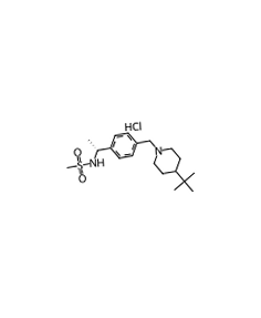 C[C@@H](NS(C)(=O)=O)c1ccc(CN2CCC(C(C)(C)C)CC2)cc1.Cl